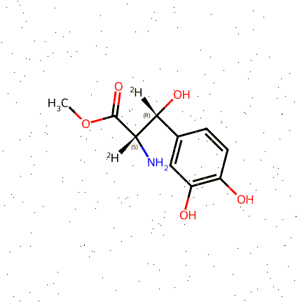 [2H][C@@](N)(C(=O)OC)[C@]([2H])(O)c1ccc(O)c(O)c1